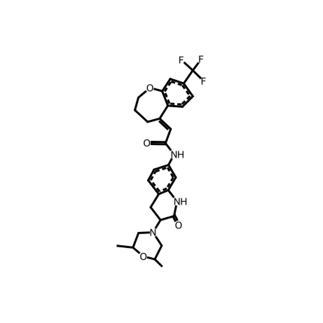 CC1CN(C2Cc3ccc(NC(=O)/C=C4\CCCOc5cc(C(F)(F)F)ccc54)cc3NC2=O)CC(C)O1